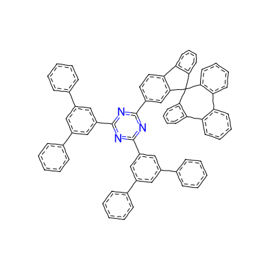 c1ccc(-c2cc(-c3ccccc3)cc(-c3nc(-c4cc(-c5ccccc5)cc(-c5ccccc5)c4)nc(-c4ccc5c(c4)C4(c6ccccc6-c6ccccc6-c6ccccc64)c4ccccc4-5)n3)c2)cc1